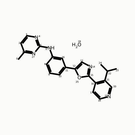 Cc1ccnc(Nc2cccc(-c3cnc(-c4ccncc4C(C)C)o3)c2)n1.O